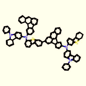 C1=CC2=Cc3cccc4c3C(c3cc(N(c5ccc6c(c5)C5C=CC=CC5N6c5ccccc5)c5cccc6c5sc5cc(-c7cc8c9c(c%10ccccc%10cc9c7)-c7cc(N(c9ccc%10c%11c(sc%10c9)CCC=C%11)c9ccc%10c(c9)c9ccccc9n%10-c9ccccc9)ccc7-8)ccc56)ccc3-4)C2C=C1